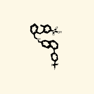 Cc1ccc(S(=O)(=O)O)cc1Cc1ccccc1CNCc1ccc2c(-c3ccc(C(F)(F)F)cc3)cccc2c1